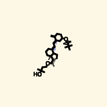 C=C1CCC(O[Si](C)(C)C(C)(C)C)C/C1=C\C=C1/CCC[C@@]2(C)C1CC[C@@H]2[C@H](C)OCCC(C)(C)O